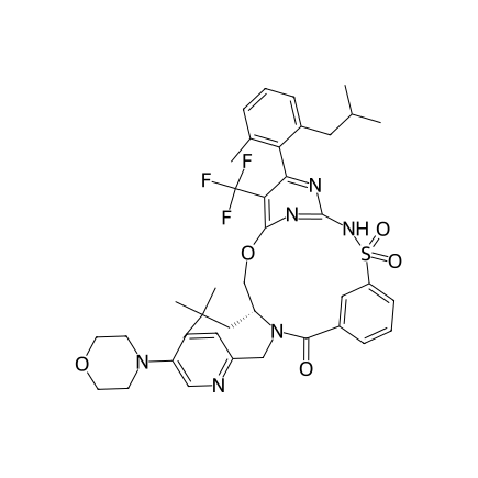 Cc1cccc(CC(C)C)c1-c1nc2nc(c1C(F)(F)F)OC[C@@H](CC(C)(C)C)N(Cc1ccc(N3CCOCC3)cn1)C(=O)c1cccc(c1)S(=O)(=O)N2